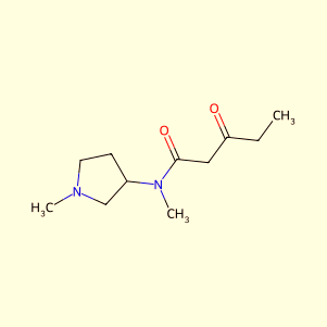 CCC(=O)CC(=O)N(C)C1CCN(C)C1